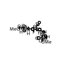 COC(=O)N[C@H](C(=O)N1CCC[C@H]1c1ncc(-c2cc(F)c3c(c2)OC(c2cc4c(s2)CCC4)n2c-3cc3cc(-c4cnc([C@@H]5C[C@H]6C[C@H]6N5C(=O)[C@@H](NC(=O)OC)C5CCOCC5)[nH]4)ccc32)[nH]1)C(C)C